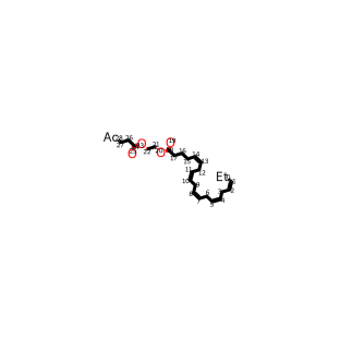 CC/C=C\C/C=C\C/C=C\C/C=C\C/C=C\CCCC(=O)OCCOC(=O)CCC(C)=O